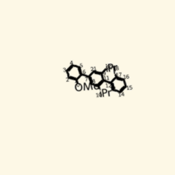 COc1ccccc1-c1cc(C(C)C)c(-c2ccccc2I)c(C(C)C)c1